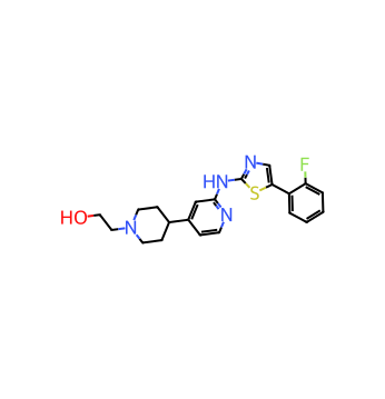 OCCN1CCC(c2ccnc(Nc3ncc(-c4ccccc4F)s3)c2)CC1